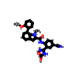 COc1ccccc1-c1cccc2cc(C(=O)Nc3ccc(C#N)cc3-c3noc(=O)[nH]3)n(C)c12